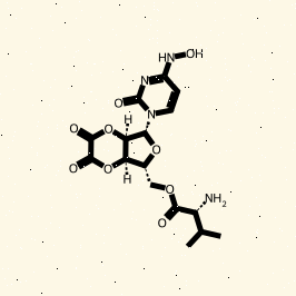 CC(C)[C@@H](N)C(=O)OC[C@H]1O[C@@H](n2ccc(NO)nc2=O)[C@@H]2OC(=O)C(=O)O[C@@H]21